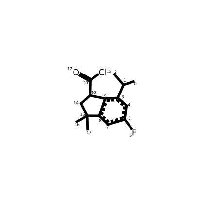 CC(C)c1cc(F)cc2c1C(C(=O)Cl)CC2(C)C